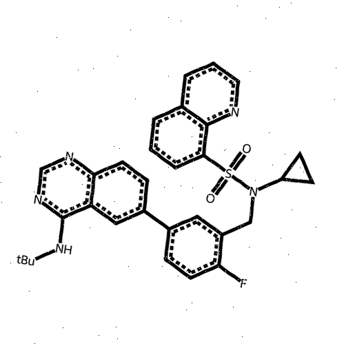 CC(C)(C)Nc1ncnc2ccc(-c3ccc(F)c(CN(C4CC4)S(=O)(=O)c4cccc5cccnc45)c3)cc12